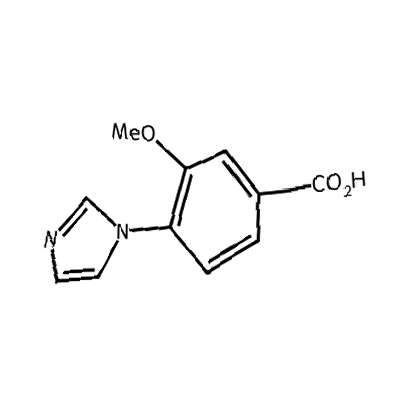 COc1cc(C(=O)O)ccc1-n1ccnc1